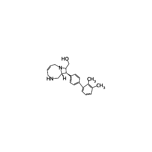 Cc1cccc(-c2ccc([C@@H]3C(CO)N4C/C=C\CNC[C@@H]34)cc2)c1C